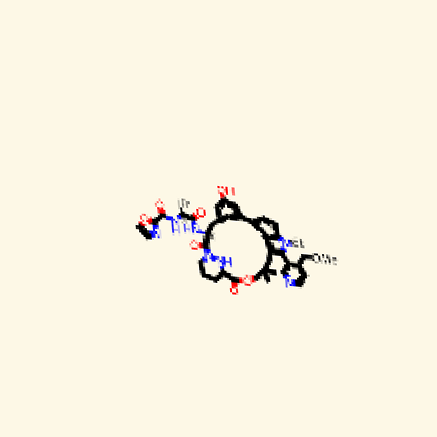 CCn1c(-c2cnccc2COC)c2c3cc(ccc31)-c1cc(O)cc(c1)C[C@H](NC(=O)[C@@H](NC(=O)c1ncco1)C(C)C)C(=O)N1CCC[C@@](C)(N1)C(=O)OCC(C)(C)C2